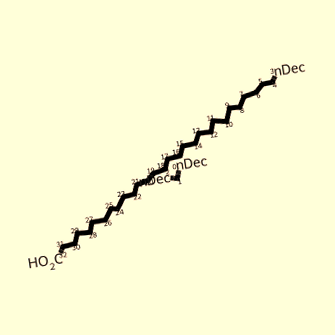 CCCCCCCCCCCCCCCCCCCCC.CCCCCCCCCCCCCCCCCCCCCCCCCCCCCCCCCCCCCCC(=O)O